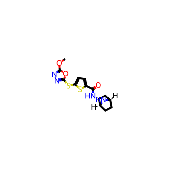 COc1nnc(Sc2ccc(C(=O)N[C@@H]3C[C@H]4CC[C@@H]3N4)s2)o1